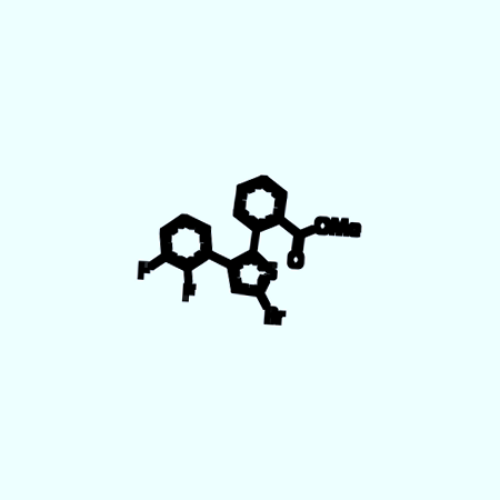 COC(=O)c1ccccc1-c1sc(Br)cc1-c1cccc(F)c1F